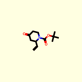 C=CC1CC(=O)CCN1C(=O)OC(C)(C)C